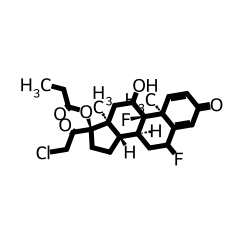 CCC(=O)O[C@]1(C(=O)CCl)CC[C@H]2[C@@H]3CC(F)C4=CC(=O)C=C[C@]4(C)[C@@]3(F)C(O)C[C@@]21C